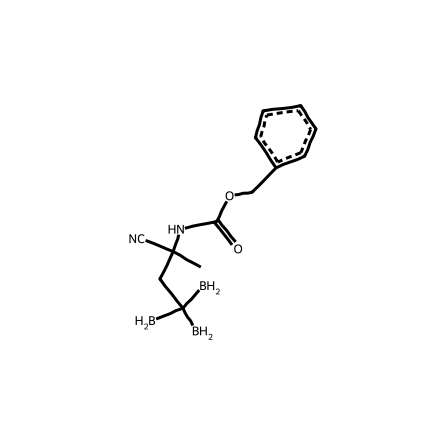 BC(B)(B)CC(C)(C#N)NC(=O)OCc1ccccc1